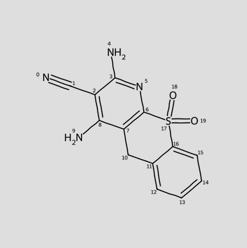 N#Cc1c(N)nc2c(c1N)Cc1ccccc1S2(=O)=O